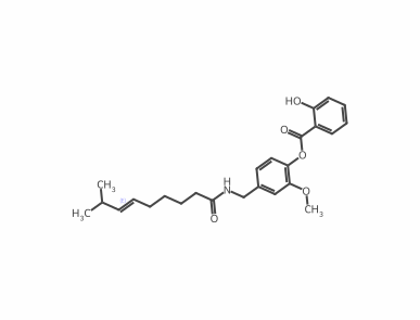 COc1cc(CNC(=O)CCCC/C=C/C(C)C)ccc1OC(=O)c1ccccc1O